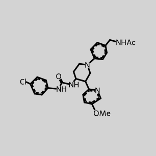 COc1ccc(C2CN(c3ccc(CNC(C)=O)cc3)CCC2NC(=O)Nc2ccc(Cl)cc2)nc1